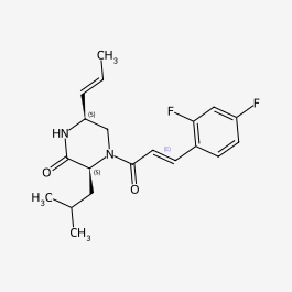 CC=C[C@H]1CN(C(=O)/C=C/c2ccc(F)cc2F)[C@@H](CC(C)C)C(=O)N1